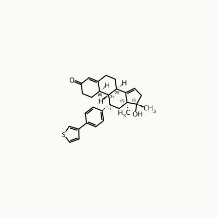 C[C@]1(O)CC=C2[C@@H]3CCC4=CC(=O)CC[C@@H]4[C@H]3[C@@H](c3ccc(-c4ccsc4)cc3)C[C@@]21C